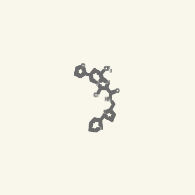 O=C(NCc1ccc(-c2ccccn2)s1)c1nc2c(C(F)(F)F)cc(-c3ccco3)cn2c1Cl